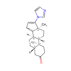 C[C@]12CC[C@H]3[C@@H](CC[C@H]4CC(=O)CC[C@@]43C)C1=CC=C2n1ccnc1